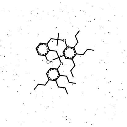 CCCc1ccc(OC(C)(C)Cc2cccc(O)c2CC(C)(C)Oc2ccc(CCC)c(CCC)c2CCC)c(CCC)c1CCC